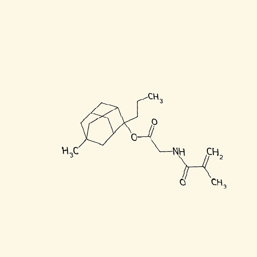 C=C(C)C(=O)NCC(=O)OC1(CCC)C2CC3CC1CC(C)(C3)C2